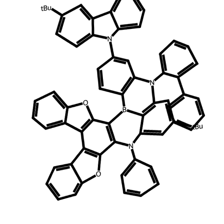 CC(C)(C)c1cc2c3c(c1)N(c1ccccc1)c1c(c4oc5ccccc5c4c4c1oc1ccccc14)B3c1ccc(-n3c4ccccc4c4cc(C(C)(C)C)ccc43)cc1N2c1ccccc1-c1ccccc1